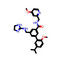 COc1ccnc(CNC(=O)c2cc(CNC3=NCCN3)cc(-c3cc(C(C)C)ccc3OC)c2)c1